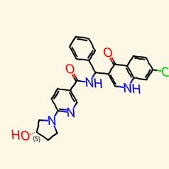 O=C(NC(c1ccccc1)c1c[nH]c2cc(Cl)ccc2c1=O)c1ccc(N2CC[C@H](O)C2)nc1